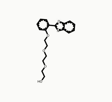 OCCOCCOCCOc1ccccc1-c1nc2ccccc2o1